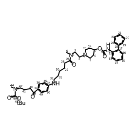 CN(CCN1CCC(OC(=O)Nc2ccccc2-c2ccccc2)CC1)C(=O)CCCCCNc1ccc(C(=O)CCCN(C)C(=O)OC(C)(C)C)cc1